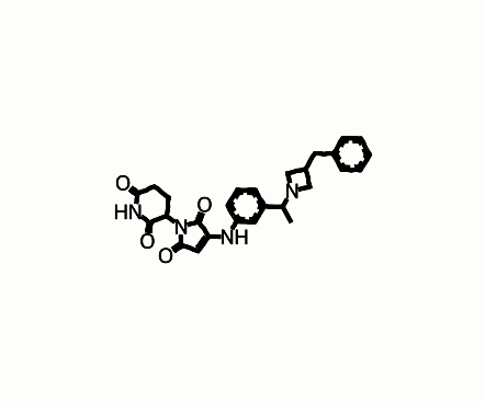 CC(c1cccc(NC2=CC(=O)N(C3CCC(=O)NC3=O)C2=O)c1)N1CC(Cc2ccccc2)C1